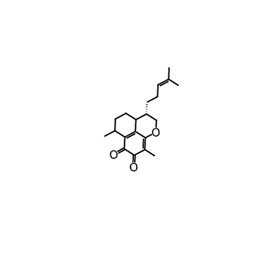 CC(C)=CCC[C@@H]1COC2=C(C)C(=O)C(=O)C3=C2C1CCC3C